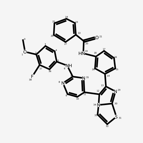 COc1ccc(Nc2nccc(-c3c(-c4cccc(NC(=O)c5ccccc5)c4)nc4sccn34)n2)cc1F